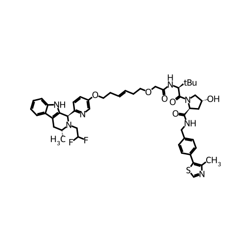 Cc1ncsc1-c1ccc(CNC(=O)[C@@H]2C[C@@H](O)CN2C(=O)[C@@H](NC(=O)COCC/C=C/CCOc2ccc([C@@H]3c4[nH]c5ccccc5c4C[C@@H](C)N3CC(F)F)nc2)C(C)(C)C)cc1